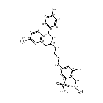 CS(=O)(=O)c1cc(OCCCN(CCc2ccc(F)cc2)Cc2cccc(C(F)(F)F)c2)cc(F)c1CCO